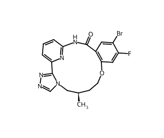 C[C@@H]1CCOc2cc(F)c(Br)cc2C(=O)Nc2cccc(n2)-c2nncn2C1